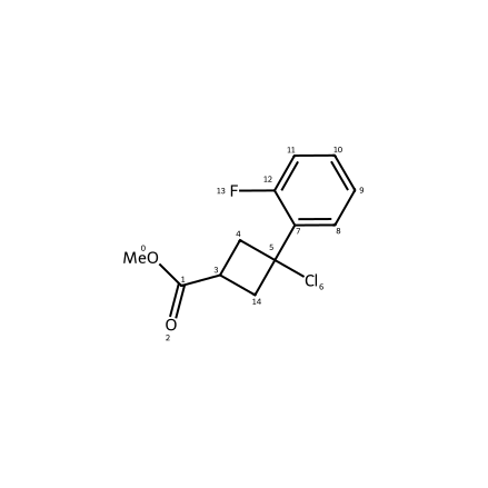 COC(=O)C1CC(Cl)(c2ccccc2F)C1